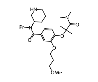 COCCCOc1cc(C(=O)N(C(C)C)[C@@H]2CCCNC2)ccc1OC(C)(C)C(=O)N(C)C